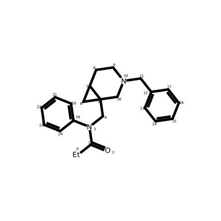 CCC(=O)N(CC12CC1CCN(Cc1ccccc1)C2)c1ccccc1